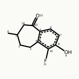 CC1CCc2c(ccc(O)c2F)C(=O)C1